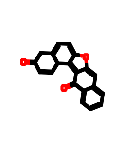 O=C1C=CC2C(=CC=c3oc4c(c32)C(=O)c2ccccc2C=4)C1